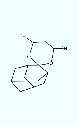 [2H]C1CC([2H])OC2(O1)C1CC3CC(C1)CC2C3